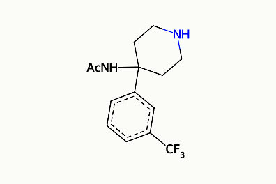 CC(=O)NC1(c2cccc(C(F)(F)F)c2)CCNCC1